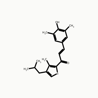 Cc1cc(C=CC(=O)c2scc(CC(C)C)c2C)cc(C)c1O